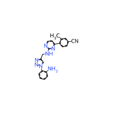 Cc1cc(C#N)ccc1-c1ccnc(NCc2cn(-c3ccccc3N)nn2)n1